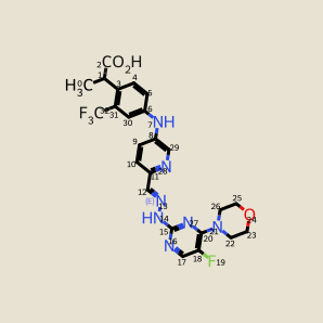 CC(C(=O)O)c1ccc(Nc2ccc(/C=N/Nc3ncc(F)c(N4CCOCC4)n3)nc2)cc1C(F)(F)F